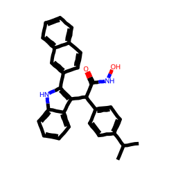 CC(C)c1ccc(C(C(=O)NO)c2c(-c3ccc4ccccc4c3)[nH]c3ccccc23)cc1